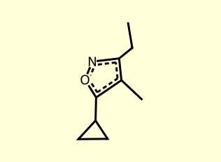 CCc1noc(C2CC2)c1C